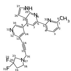 Cc1cccc(-c2cc(-c3cncc(C#CCN4CCC(F)(F)C4)c3)c3cc[nH]c3n2)n1